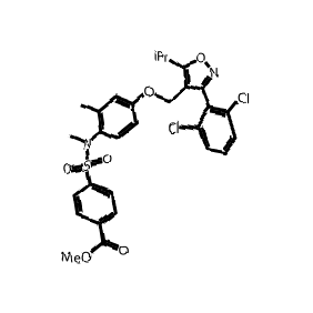 COC(=O)c1ccc(S(=O)(=O)N(C)c2ccc(OCc3c(-c4c(Cl)cccc4Cl)noc3C(C)C)cc2C)cc1